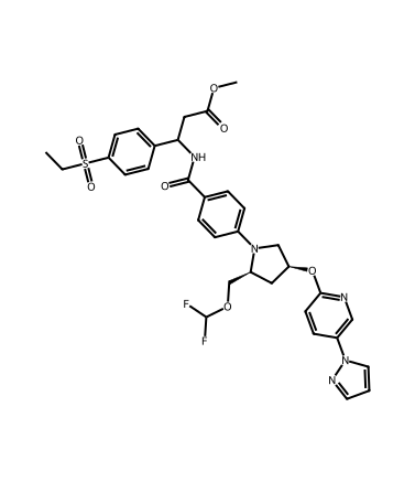 CCS(=O)(=O)c1ccc(C(CC(=O)OC)NC(=O)c2ccc(N3C[C@@H](Oc4ccc(-n5cccn5)cn4)C[C@H]3COC(F)F)cc2)cc1